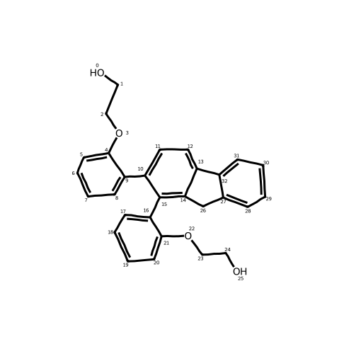 OCCOc1ccccc1-c1ccc2c(c1-c1ccccc1OCCO)Cc1ccccc1-2